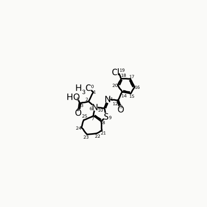 CCC(C(=O)O)n1c2c(s/c1=N\C(=O)c1cccc(Cl)c1)CCCCC2